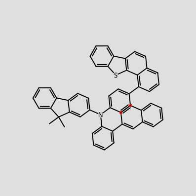 CC1(C)c2ccccc2-c2ccc(N(c3ccc(-c4cccc5ccc6c7ccccc7sc6c45)cc3)c3ccccc3-c3ccc4ccccc4c3)cc21